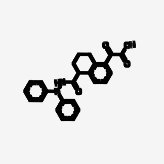 O=C(O)C(=O)c1cccc2c1CCCC2C(=O)NN(c1ccccc1)c1ccccc1